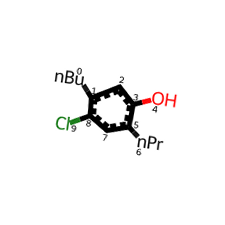 CCCCc1cc(O)c(CCC)cc1Cl